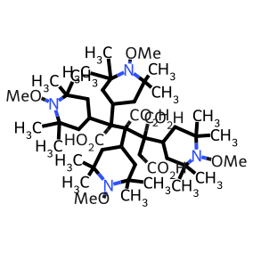 CON1C(C)(C)CC(C(CC(=O)O)(C(=O)O)C(C(=O)O)(C2CC(C)(C)N(OC)C(C)(C)C2)C(C(=O)O)(C2CC(C)(C)N(OC)C(C)(C)C2)C2CC(C)(C)N(OC)C(C)(C)C2)CC1(C)C